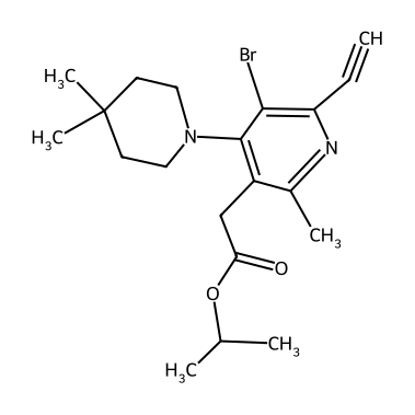 C#Cc1nc(C)c(CC(=O)OC(C)C)c(N2CCC(C)(C)CC2)c1Br